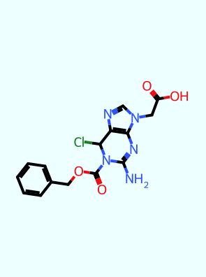 NC1=Nc2c(ncn2CC(=O)O)C(Cl)N1C(=O)OCc1ccccc1